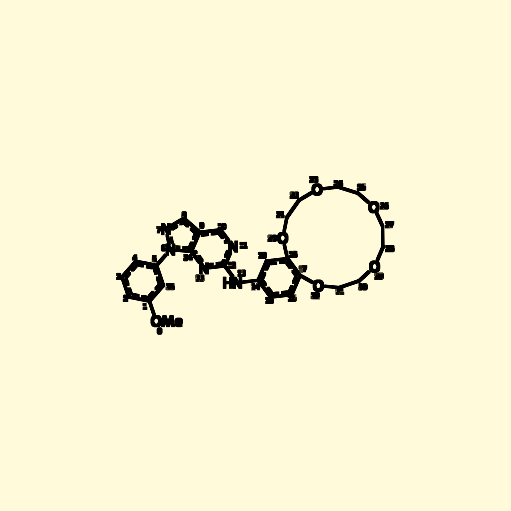 COc1cccc(-n2ncc3cnc(Nc4ccc5c(c4)OCCOCCOCCOCCO5)nc32)c1